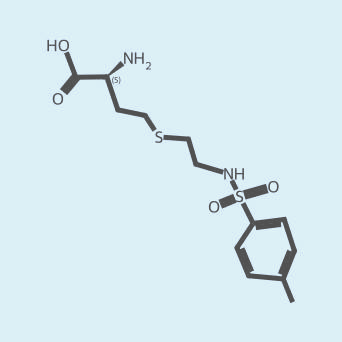 Cc1ccc(S(=O)(=O)NCCSCC[C@H](N)C(=O)O)cc1